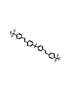 CC(C)(c1ccc(/C=C/c2ccc(C(F)(F)F)cc2)cc1)c1ccc(/C=C/c2ccc(C(F)(F)F)cc2)cc1